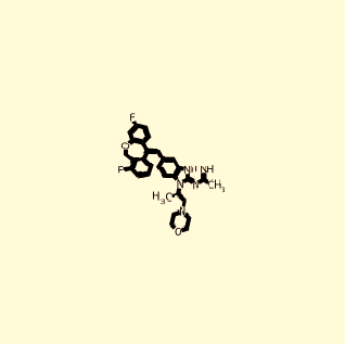 CC(=N)/N=c1\[nH]c2cc(/C=C3/c4ccc(F)cc4OCc4c(F)cccc43)ccc2n1[C@H](C)CN1CCOCC1